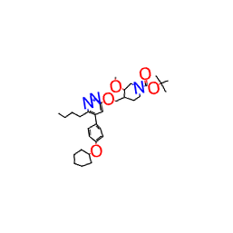 CCCCc1nnc(OCC2CCN(C(=O)OC(C)(C)C)CC2OC)cc1-c1ccc(OC2CCCCC2)cc1